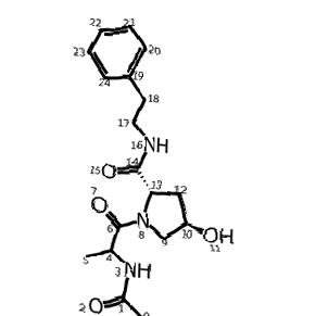 CC(=O)NC(C)C(=O)N1C[C@H](O)C[C@H]1C(=O)NCCc1ccccc1